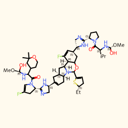 CC[C@H]1CC=C(C2OC3C[C@H]([C@@H]4CN=C([C@@H]5CCCN5C(=O)[C@@H](N[C@@H](O)OC)C(C)C)N4)C=C(F)[C@@H]3[C@@H]3C[C@@H]4CC([C@H]5CN=C([C@@H]6CC(F)=CN6C(=O)C(N[C@H](O)OC)C6CCOC(C)(C)C6)N5)=CC[C@@H]4N23)S1